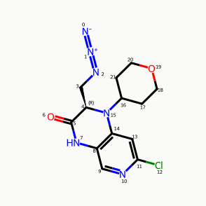 [N-]=[N+]=NC[C@@H]1C(=O)Nc2cnc(Cl)cc2N1C1CCOCC1